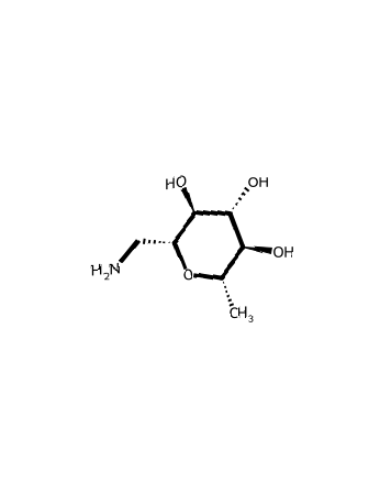 C[C@@H]1O[C@H](CN)[C@@H](O)[C@H](O)[C@H]1O